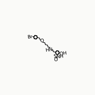 O=c1[nH]c2c(O)ccc(CCNCCCCCCOCCc3ccc(Br)cc3)c2s1